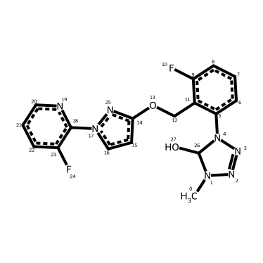 CN1N=NN(c2cccc(F)c2COc2ccn(-c3ncccc3F)n2)C1O